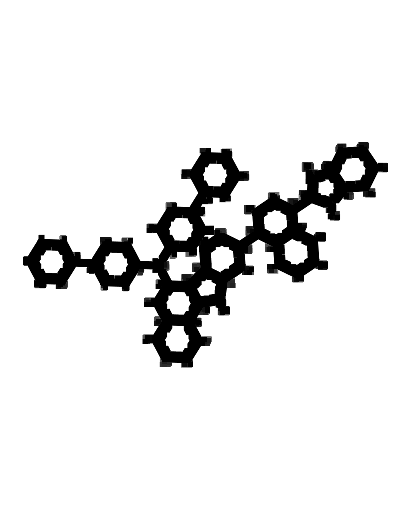 c1ccc(-c2ccc(N(c3ccc(-c4ccccc4)cc3)c3cc4ccccc4c4sc5cc(-c6ccc(-c7nc8ccccc8s7)c7ccccc67)ccc5c34)cc2)cc1